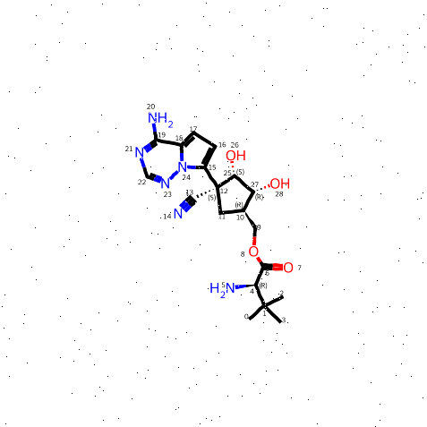 CC(C)(C)[C@@H](N)C(=O)OC[C@H]1C[C@@](C#N)(c2ccc3c(N)ncnn23)[C@H](O)[C@@H]1O